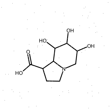 O=C(O)C1CCN2CC(O)C(O)C(O)C12